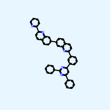 c1ccc(-c2cc(-c3cccc(-c4ccc5ccc(-c6ccc7ccc(-c8ccccn8)nc7c6)cc5n4)c3)nc(-c3ccccc3)n2)cc1